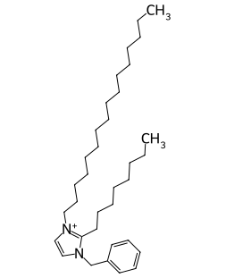 CCCCCCCCCCCCCCCC[n+]1ccn(Cc2ccccc2)c1CCCCCCCC